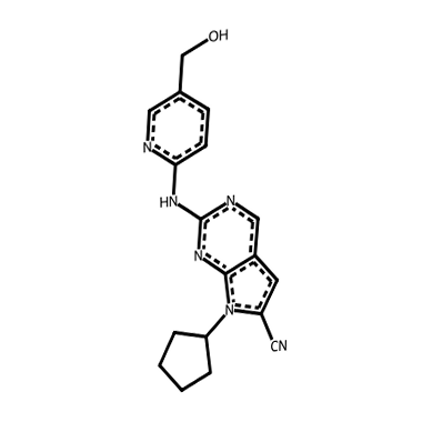 N#Cc1cc2cnc(Nc3ccc(CO)cn3)nc2n1C1CCCC1